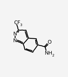 NC(=O)c1ccc2nnc(C(F)(F)F)cc2c1